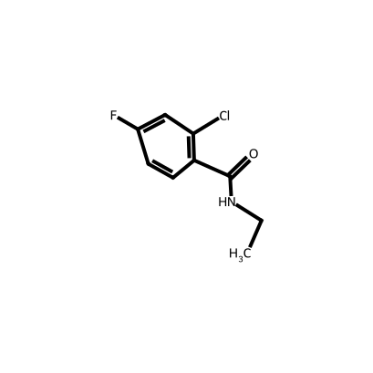 CCNC(=O)c1ccc(F)cc1Cl